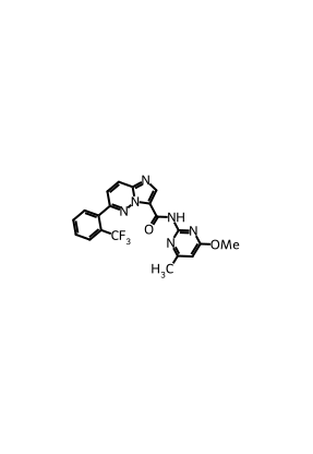 COc1cc(C)nc(NC(=O)c2cnc3ccc(-c4ccccc4C(F)(F)F)nn23)n1